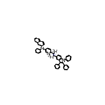 [2H]/C(=C(/[2H])c1ccc(N(c2ccccc2)c2ccc3ccccc3c2)cn1)c1ccc2c(c1)c(-c1ccccc1)c(-c1ccccc1)n2-c1ccccc1